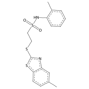 Cc1ccc2sc(SCCS(=O)(=O)Nc3ccccc3C)nc2c1